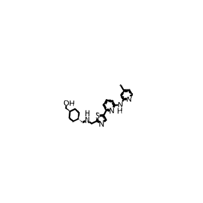 Cc1ccnc(Nc2cccc(-c3cnc(CNC[C@H]4CC[C@H](CO)CC4)s3)n2)c1